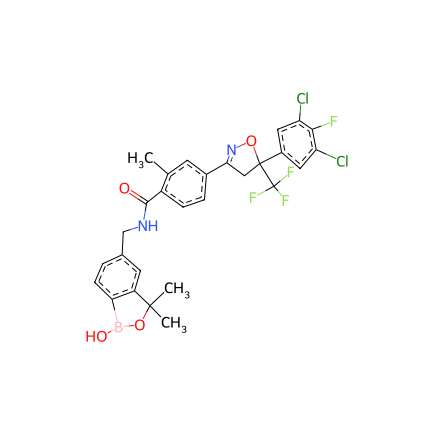 Cc1cc(C2=NOC(c3cc(Cl)c(F)c(Cl)c3)(C(F)(F)F)C2)ccc1C(=O)NCc1ccc2c(c1)C(C)(C)OB2O